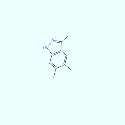 Cc1cc2[nH]nc(C)c2cc1C